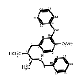 COc1ccc(C[C@H](C(=O)O)[C@H](C)OCc2ccccc2)cc1Cc1ccccc1